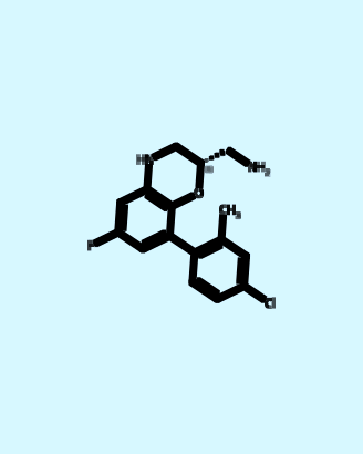 Cc1cc(Cl)ccc1-c1cc(F)cc2c1O[C@@H](CN)CN2